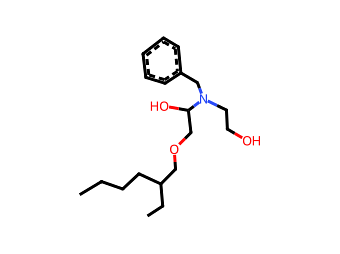 CCCCC(CC)COCC(O)N(CCO)Cc1ccccc1